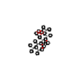 c1ccc(-c2ccccc2N(c2ccccc2)c2cc(N(c3ccccc3)c3ccc4c(c3)Sc3cc(N(c5ccccc5)c5cc(N(c6ccccc6)c6ccccc6)cc(N(c6ccccc6)c6ccccc6)c5)ccc3C43c4ccccc4-c4ccccc43)cc(N(c3ccccc3)c3ccccc3-c3ccccc3)c2)cc1